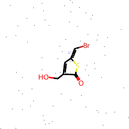 O=C1S/C(=C\Br)C=C1CO